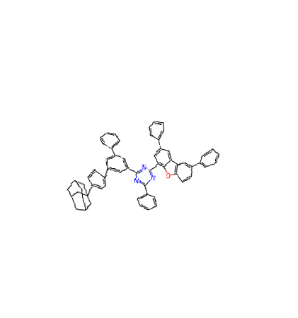 c1ccc(-c2cc(-c3ccc(C45CC6CC(CC(C6)C4)C5)cc3)cc(-c3nc(-c4ccccc4)nc(-c4cc(-c5ccccc5)cc5c4oc4ccc(-c6ccccc6)cc45)n3)c2)cc1